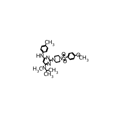 COc1ccc(S(=O)(=O)N2CCN(c3nc(Nc4ccc(C)cc4)cc(N(C)C(C)C)n3)CC2)cc1